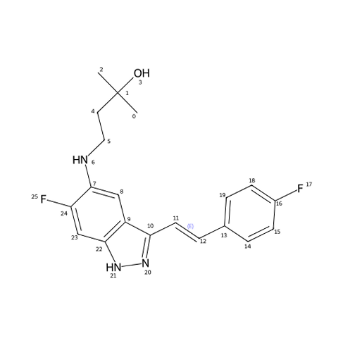 CC(C)(O)CCNc1cc2c(/C=C/c3ccc(F)cc3)n[nH]c2cc1F